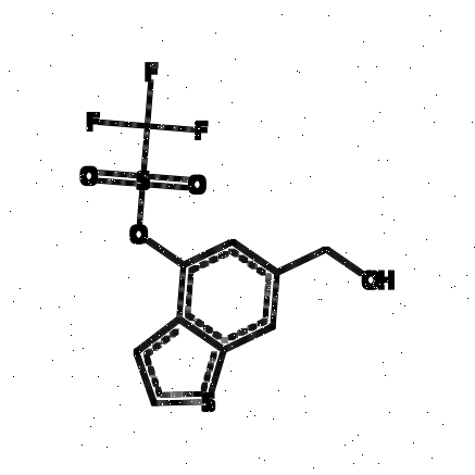 O=S(=O)(Oc1cc(CO)cc2sccc12)C(F)(F)F